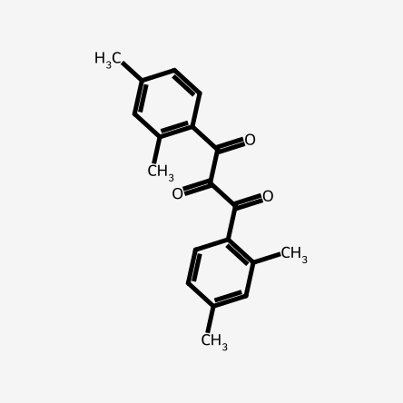 Cc1ccc(C(=O)C(=O)C(=O)c2ccc(C)cc2C)c(C)c1